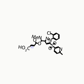 CNC(OC(=O)/C=C/C(=O)O)c1cc(S(=O)(=O)c2ccc(C)nc2)n(-c2ccccc2Cl)n1